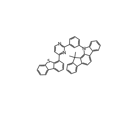 CC1(C)c2ccccc2-c2ccc3c4ccccc4n(-c4cccc(-c5nccc(-c6cccc7c6sc6ccccc67)n5)c4)c3c21